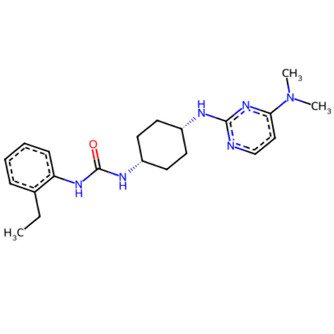 CCc1ccccc1NC(=O)N[C@H]1CC[C@@H](Nc2nccc(N(C)C)n2)CC1